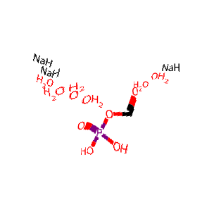 O.O.O.O.O.O.O=COP(=O)(O)O.[NaH].[NaH].[NaH]